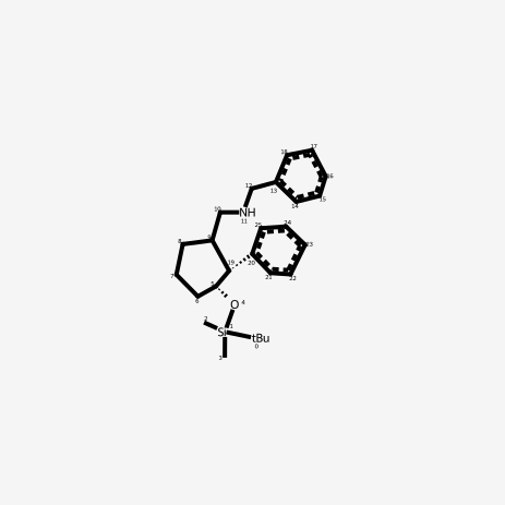 CC(C)(C)[Si](C)(C)O[C@@H]1CCCC(CNCc2ccccc2)[C@@H]1c1ccccc1